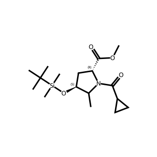 COC(=O)[C@H]1C[C@H](O[Si](C)(C)C(C)(C)C)C(C)N1C(=O)C1CC1